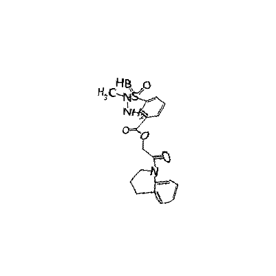 B=S(=O)(c1cccc(C(=O)OCC(=O)N2CCCc3ccccc32)c1)N(C)N